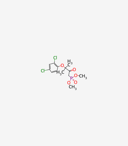 COP(=O)(CC(=O)C(C)(C)Oc1ccc(Cl)cc1Cl)OC